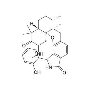 CNC1C[C@@]23Oc4c(ccc5c4C(c4ccccc4O)NC5=O)C[C@]2(C)[C@@H](C)CC[C@H]3C(C)(C)C1=O